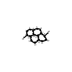 Ic1ccc2ccc3c(I)ccc4ccc1c2c43